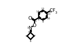 O=C(ON=C1CCC1)c1ccc(C(F)(F)F)cc1